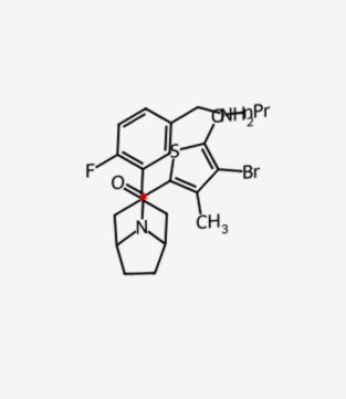 CCCOc1sc(C(=O)N2C3CCC2CC(c2cc(CN)ccc2F)C3)c(C)c1Br